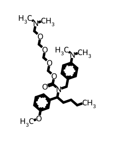 CCCCC(c1cccc(OC)c1)N(Cc1ccc(N(C)C)cc1)C(=O)OCOCOCOCN(C)C